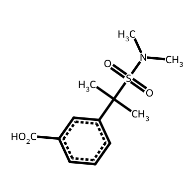 CN(C)S(=O)(=O)C(C)(C)c1cccc(C(=O)O)c1